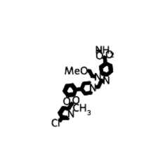 COCCn1c(CN2CCC(c3cccc4c3OC(C)(c3ccc(Cl)cn3)O4)CC2)nc2ccc(C(=O)ON)cc21